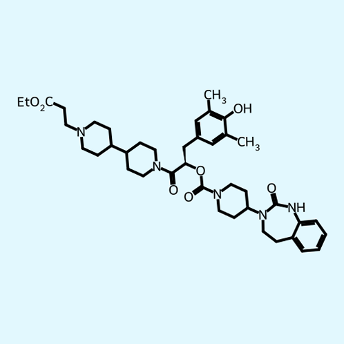 CCOC(=O)CCN1CCC(C2CCN(C(=O)[C@@H](Cc3cc(C)c(O)c(C)c3)OC(=O)N3CCC(N4CCc5ccccc5NC4=O)CC3)CC2)CC1